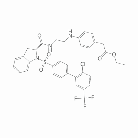 CCOC(=O)Cc1ccc(NCCNC(=O)[C@@H]2Cc3ccccc3N2S(=O)(=O)c2ccc(-c3cc(C(F)(F)F)ccc3Cl)cc2)cc1